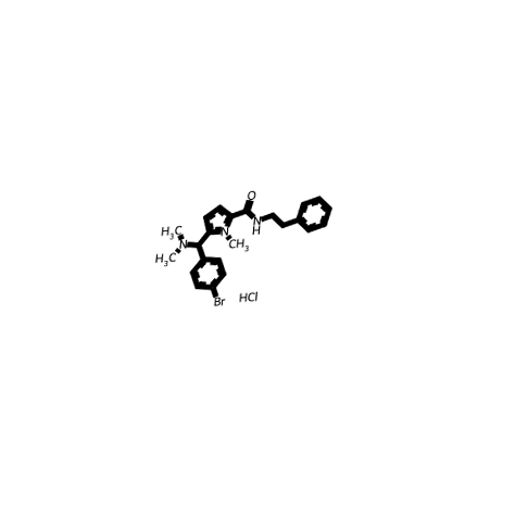 CN(C)C(c1ccc(Br)cc1)c1ccc(C(=O)NCCc2ccccc2)n1C.Cl